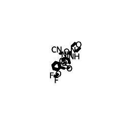 N#CCNC(=O)C(CS(=O)(=O)Cc1ccccc1OC(F)F)NC(=O)N1CCOCC1